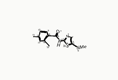 CNc1cnc(NC(=O)c2ccc(C)cc2C)s1